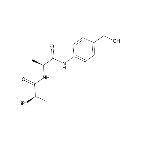 CC(C)[C@H](C)C(=O)N[C@@H](C)C(=O)Nc1ccc(CO)cc1